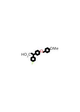 COc1ccc(COc2ccc(C(CC(=O)O)c3ccc(F)cc3)cc2)cc1